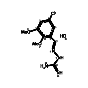 COc1cc(Cl)cc(C=NNC(=N)N)c1OC.Cl